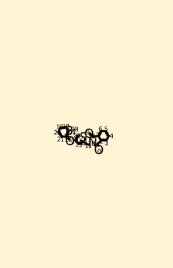 O=C1c2ccccc2C(=O)N1Cc1cc(Oc2ccccc2)c(Br)s1